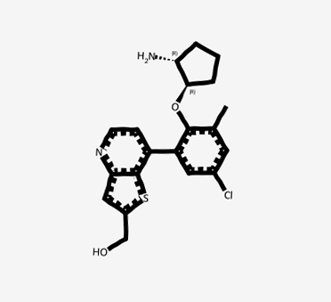 Cc1cc(Cl)cc(-c2ccnc3cc(CO)sc23)c1O[C@@H]1CCC[C@H]1N